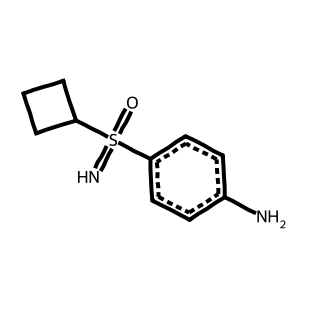 N=S(=O)(c1ccc(N)cc1)C1CCC1